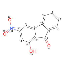 O=C1c2ccccc2-c2cc([N+](=O)[O-])cc(O)c21